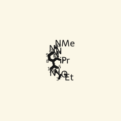 CCOC(C)n1cc(-c2ccc3nc(NC)nn3c2C(C)C)cn1